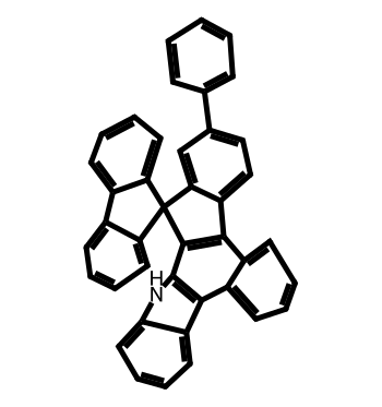 c1ccc(-c2ccc3c(c2)C2(c4ccccc4-c4ccccc42)c2c-3c3ccccc3c3c2[nH]c2ccccc23)cc1